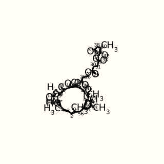 C/C1=C\C=C\C(C)C2(O)CC(OC(=O)N2)C(C)C2OC2(C)C(OC(=O)CCOC(=O)CCC(=O)ON2C(=O)CC(C)C2=O)CC(=O)N(C)c2cc(cc(C)c2Cl)C1